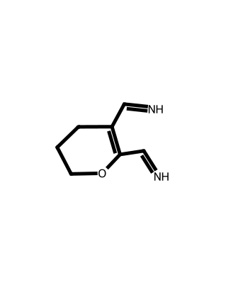 N=CC1=C(C=N)OCCC1